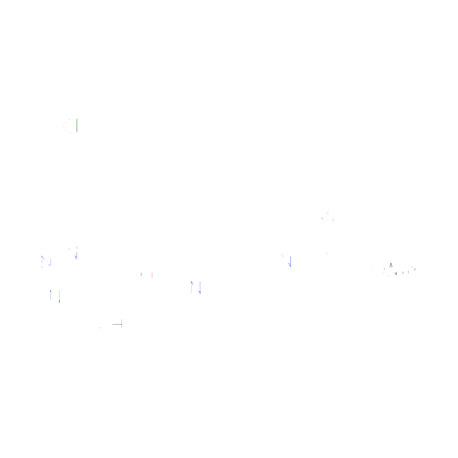 COCC(=O)N1CCc2nc(OCc3c(C)nnn3-c3ccc(Cl)cc3)ccc2C1